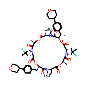 C[C@H]1OC(=O)C(CC(C)(C)C)N(C)C(=O)[C@@H](Cc2ccc(C3CCOCC3)cc2)OC(=O)[C@H](CC(C)(C)F)N(C)C(=O)[C@@H](C)OC(=O)[C@H](CC(C)(C)C)N(C)C(=O)[C@@H]([C@@H](C)c2ccc(C3CCOCC3)cc2)OC(=O)[C@H](CC(C)(C)F)N(C)C1=O